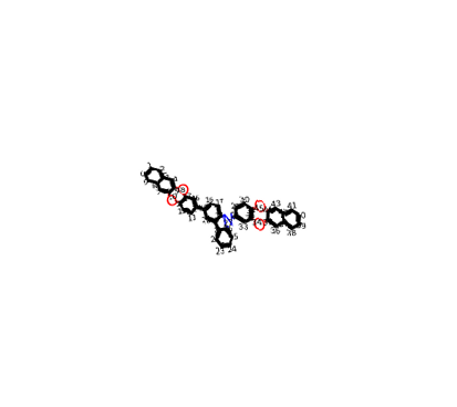 c1ccc2cc3c(cc2c1)Oc1ccc(-c2ccc4c(c2)c2ccccc2n4-c2ccc4c(c2)Oc2cc5ccccc5cc2O4)cc1O3